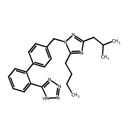 CCCCc1nc(CC(C)C)nn1Cc1ccc(-c2ccccc2-c2nnn[nH]2)cc1